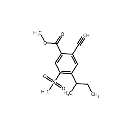 C#Cc1cc(C(C)CC)c(S(C)(=O)=O)cc1C(=O)OC